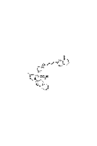 Cc1ccc([C@H]2CCC3(CCOCC3)CO2)c([C@@H](C(=O)O)N2CC[C@@H](OCCCCc3ccc4c(n3)NCCC4)C2)c1